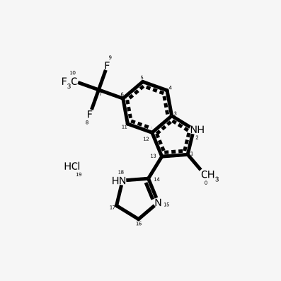 Cc1[nH]c2ccc(C(F)(F)C(F)(F)F)cc2c1C1=NCCN1.Cl